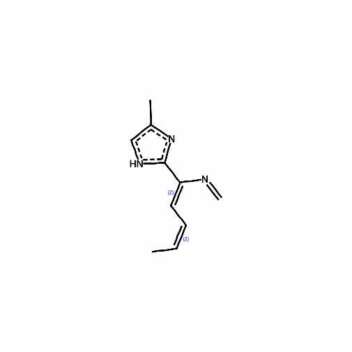 C=N/C(=C\C=C/C)c1nc(C)c[nH]1